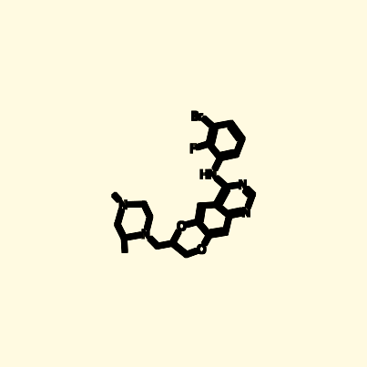 CC1CN(C)CCN1CC1COc2cc3ncnc(Nc4cccc(Br)c4F)c3cc2O1